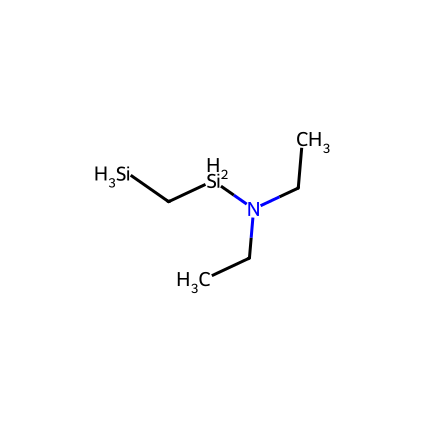 CCN(CC)[SiH2]C[SiH3]